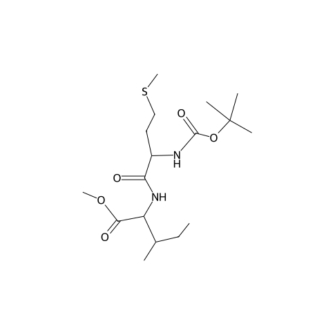 CCC(C)C(NC(=O)C(CCSC)NC(=O)OC(C)(C)C)C(=O)OC